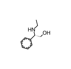 CCN[C@H](CO)c1ccccc1